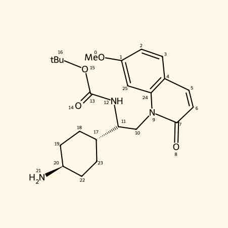 COc1ccc2ccc(=O)n(CC(NC(=O)OC(C)(C)C)[C@H]3CC[C@H](N)CC3)c2c1